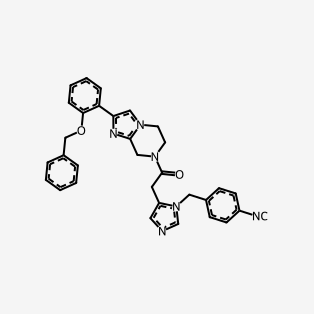 [C-]#[N+]c1ccc(Cn2cncc2CC(=O)N2CCn3cc(-c4ccccc4OCc4ccccc4)nc3C2)cc1